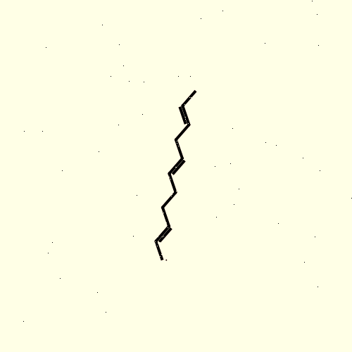 [CH2]C=CCCC=CCC=CC